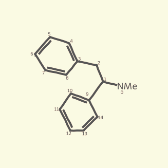 CNC(Cc1cc[c]cc1)c1ccccc1